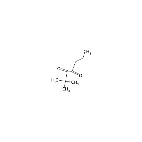 CCCC(=O)C(=O)C(C)(C)C